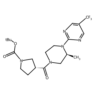 C[C@H]1CN(C(=O)[C@@H]2CCN(C(=O)OC(C)(C)C)C2)CCN1c1ncc(C(F)(F)F)cn1